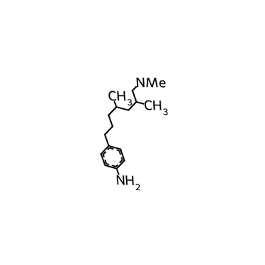 CNCC(C)CC(C)CCCc1ccc(N)cc1